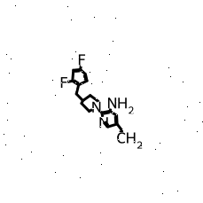 C=Cc1cnc(N2CCC(Cc3ccc(F)cc3F)CC2)c(N)c1